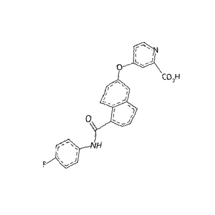 O=C(O)c1cc(Oc2ccc3c(C(=O)Nc4ccc(F)cc4)cccc3c2)ccn1